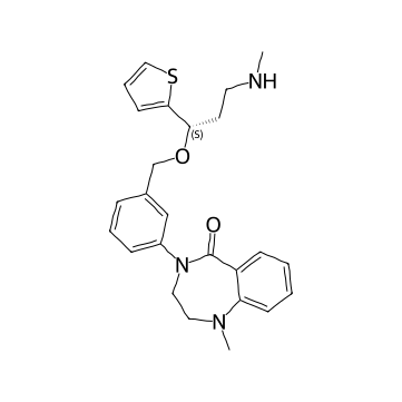 CNCC[C@H](OCc1cccc(N2CCN(C)c3ccccc3C2=O)c1)c1cccs1